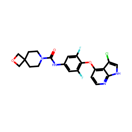 O=C(Nc1cc(F)c(Oc2ccnc3[nH]cc(Cl)c23)c(F)c1)N1CCC2(CC1)COC2